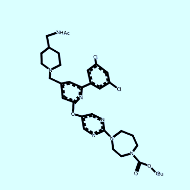 CC(=O)NCC1CCN(Cc2cc(Oc3cnc(N4CCCN(C(=O)OC(C)(C)C)CC4)nc3)nc(-c3cc(Cl)cc(Cl)c3)c2)CC1